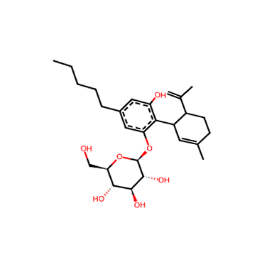 C=C(C)C1CCC(C)=CC1c1c(O)cc(CCCCC)cc1O[C@@H]1O[C@H](CO)[C@@H](O)[C@H](O)[C@H]1O